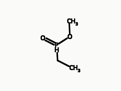 CC[PH](=O)OC